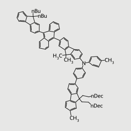 CCCCCCCCCCCCC1(CCCCCCCCCCCC)c2cc(C)ccc2-c2ccc(-c3ccc(N(c4ccc(C)cc4)c4ccc5c(c4)C(C)(C)c4cc(-c6c7ccccc7c(-c7ccc8c(c7)C(CCCC)(CCCC)c7ccccc7-8)c7ccccc67)ccc4-5)cc3)cc21